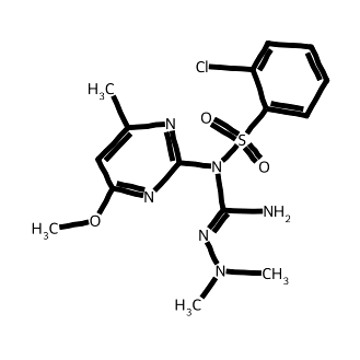 COc1cc(C)nc(N(C(N)=NN(C)C)S(=O)(=O)c2ccccc2Cl)n1